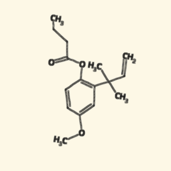 C=CC(C)(C)c1cc(OC)ccc1OC(=O)CCC